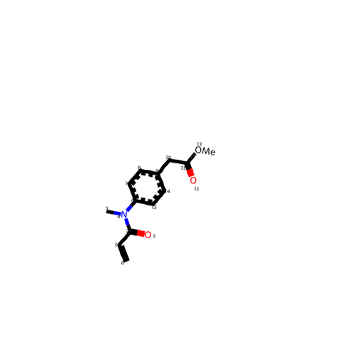 C=CC(=O)N(C)c1ccc(CC(=O)OC)cc1